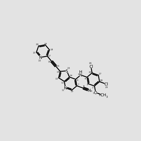 COc1cc(Nc2c(C#N)cnc3cc(C#Cc4ccccn4)sc23)c(Cl)cc1Cl